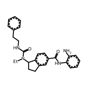 CCN(C(=O)NCCc1ccccc1)C1CCc2cc(C(=O)Nc3ccccc3N)ccc21